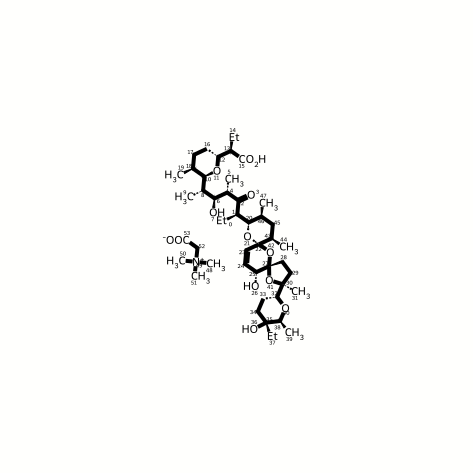 CC[C@@H](C(=O)[C@@H](C)[C@@H](O)[C@H](C)[C@@H]1O[C@@H]([C@@H](CC)C(=O)O)CC[C@@H]1C)[C@H]1O[C@]2(C=C[C@@H](O)[C@]3(CC[C@@](C)([C@H]4CC[C@](O)(CC)[C@H](C)O4)O3)O2)[C@H](C)C[C@@H]1C.C[N+](C)(C)CC(=O)[O-]